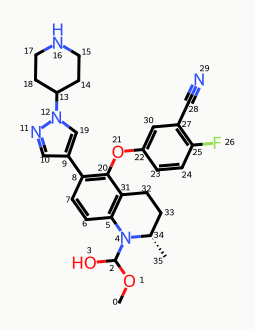 COC(O)N1c2ccc(-c3cnn(C4CCNCC4)c3)c(Oc3ccc(F)c(C#N)c3)c2CC[C@@H]1C